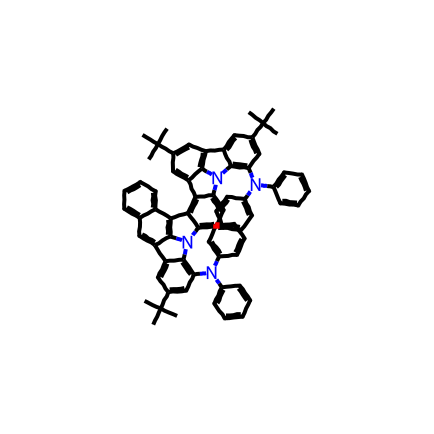 CC(C)(C)c1cc(N(c2ccccc2)c2ccccc2)c2c(c1)c1cc(C(C)(C)C)cc3c4c5c6c7ccccc7cc7c8cc(C(C)(C)C)cc(N(c9ccccc9)c9ccccc9)c8n(c5ccc4n2c13)c76